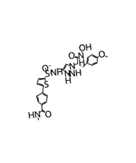 CNC(=O)c1ccc(-c2ccc([S+]([O-])NCC3=CN([C@@H](Cc4ccc(OC)cc4)C(=O)NO)NN3)s2)cc1